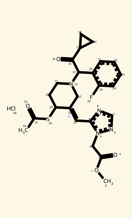 COC(=O)Cn1ncnc1/C=C1\CN(C(C(=O)C2CC2)c2ccccc2F)CCC1SC(C)=O.Cl